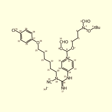 CC(C)(C)ON(C=O)CCCOC(OC=O)[n+]1ccc(NC(=N)N(C#N)CCCCCCOc2ccc(Cl)cc2)cc1.[I-]